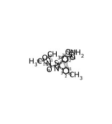 Cc1ccc(-c2nc(C(=O)N3CC(C)OC(C)C3)sc2-c2ccc(S(N)(=O)=O)cc2)cc1